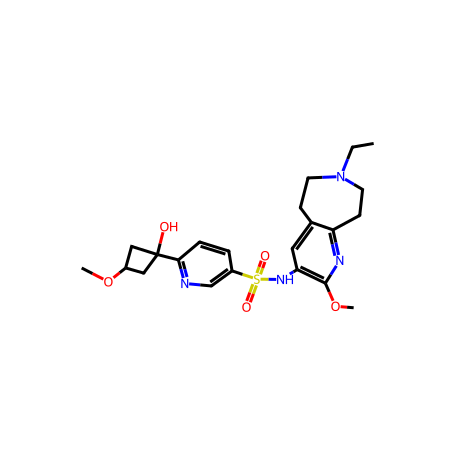 CCN1CCc2cc(NS(=O)(=O)c3ccc(C4(O)CC(OC)C4)nc3)c(OC)nc2CC1